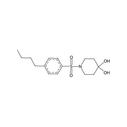 CCCCc1ccc(S(=O)(=O)N2CCC(O)(O)CC2)cc1